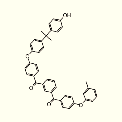 Cc1cccc(Oc2ccc(C(=O)c3cccc(C(=O)c4ccc(Oc5ccc(C(C)(C)c6ccc(O)cc6)cc5)cc4)c3)cc2)c1